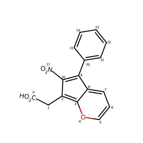 O=C(O)Cc1c2occcc-2c(-c2ccccc2)c1[N+](=O)[O-]